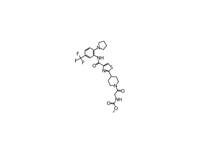 COC(=O)NCC(=O)N1CCC(c2nc(C(=O)Nc3cc(C(F)(F)F)ccc3N3CCCC3)cs2)CC1